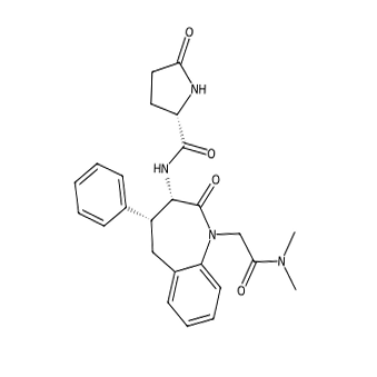 CN(C)C(=O)CN1C(=O)[C@@H](NC(=O)[C@@H]2CCC(=O)N2)[C@@H](c2ccccc2)Cc2ccccc21